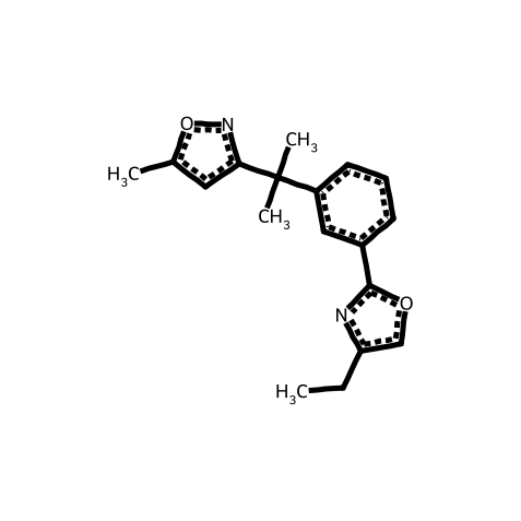 CCc1coc(-c2cccc(C(C)(C)c3cc(C)on3)c2)n1